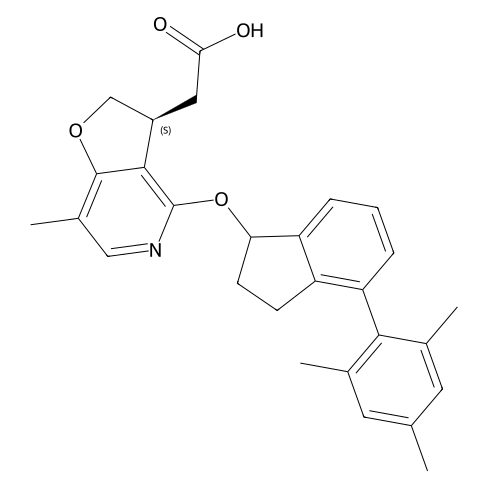 Cc1cc(C)c(-c2cccc3c2CCC3Oc2ncc(C)c3c2[C@H](CC(=O)O)CO3)c(C)c1